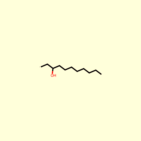 [CH2]CC(O)CCCCCCCC